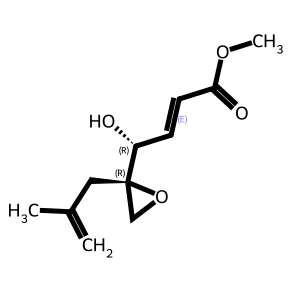 C=C(C)C[C@]1([C@H](O)/C=C/C(=O)OC)CO1